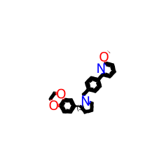 COc1cccc(-c2ccc(CN3CCC[C@H]3c3ccc4c(c3)OCCO4)cc2)n1